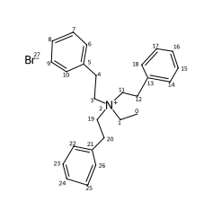 CC[N+](CCc1ccccc1)(CCc1ccccc1)CCc1ccccc1.[Br-]